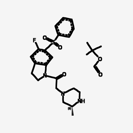 CC(C)(C)OC=O.C[C@@H]1CN(CC(=O)N2CCc3cc(F)c(S(=O)(=O)c4ccccc4)cc32)CCN1